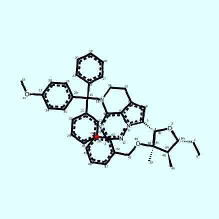 CC[C@H]1O[C@@H](c2cc3c4c(ncnn24)N(C(c2ccccc2)(c2ccccc2)c2ccc(OC)cc2)CC3)[C@](C)(OCc2ccccc2)[C@@H]1C